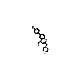 O=CC1C=C(CN2CCOCC2)Oc2ccc(-c3ccc(F)cc3)cc21